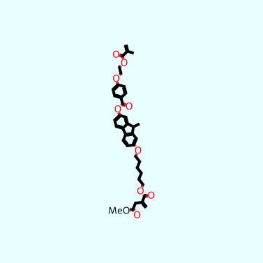 C=C(C)C(=O)OCCOc1ccc(C(=O)Oc2ccc3c(c2)C(C)c2cc(OCCCCCCOC(=O)C(=C)CC(=O)OC)ccc2-3)cc1